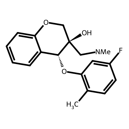 CNC[C@@]1(O)COc2ccccc2[C@H]1Oc1cc(F)ccc1C